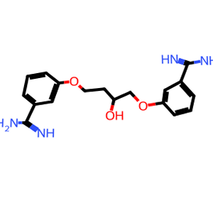 N=C(N)c1cccc(OCCC(O)COc2cccc(C(=N)N)c2)c1